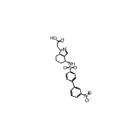 O=C(O)Cn1ncc2c1CCCC2NS(=O)(=O)c1ccc(-c2cccc([N+](=O)[O-])c2)cc1